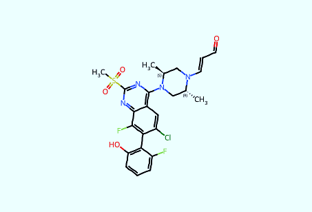 C[C@@H]1CN(c2nc(S(C)(=O)=O)nc3c(F)c(-c4c(O)cccc4F)c(Cl)cc23)[C@@H](C)CN1C=CC=O